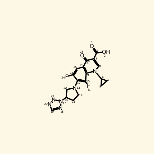 O=C(O)c1cn(C2CC2)c2c(F)c(N3CCC(n4ncnn4)C3)c(F)cc2c1=O